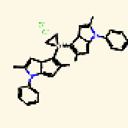 CC1=CC2C(=CC(C)=[C]2[Zr+2]2([C]3=C(C)C=C4C3C=C(C)N4c3ccccc3)[CH2][CH2]2)N1c1ccccc1.[Cl-].[Cl-]